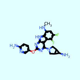 CNc1cc(F)c(F)c2c1[nH]c1nc(Oc3ccc(N)nc3)nc(N3CC4C(N)C4C3)c12